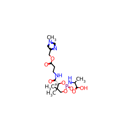 CC(NP1(=O)OCC(C)(C)[C@H](C(=O)NCCC(=O)OCc2cn(C)cn2)O1)C(=O)O